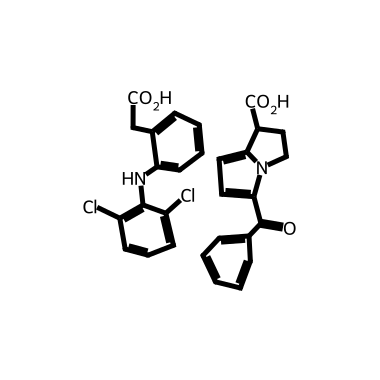 O=C(O)Cc1ccccc1Nc1c(Cl)cccc1Cl.O=C(c1ccccc1)c1ccc2n1CCC2C(=O)O